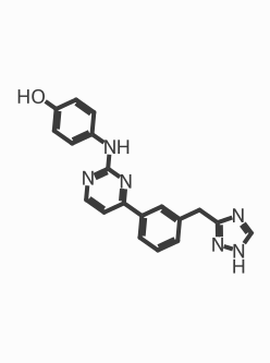 Oc1ccc(Nc2nccc(-c3cccc(Cc4nc[nH]n4)c3)n2)cc1